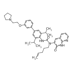 C=CCCCN(C(=O)Nc1c(C(C)C)cc(-c2cccc(OCCN3CCCC3)c2)cc1C(C)C)c1cc2cccnc2[nH]c1=O